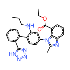 CCCNc1cc(-n2c(C)nc3cccc(C(=O)OCC)c32)ccc1-c1ccccc1-c1nnn[nH]1